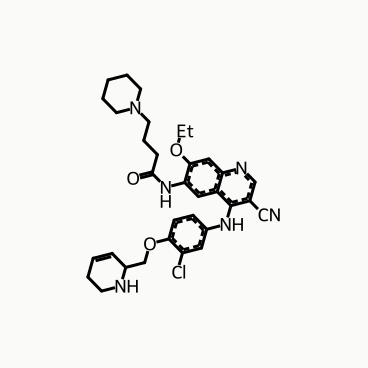 CCOc1cc2ncc(C#N)c(Nc3ccc(OCC4C=CCCN4)c(Cl)c3)c2cc1NC(=O)CCCN1CCCCC1